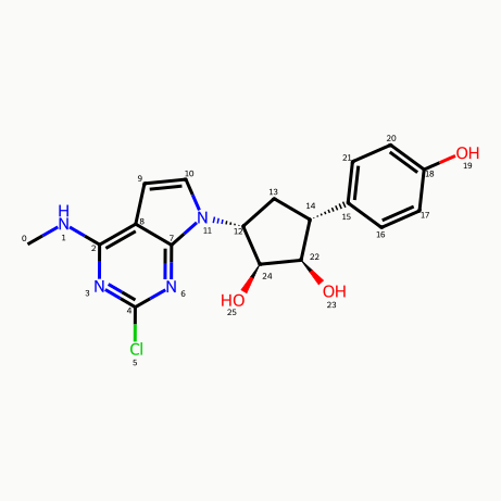 CNc1nc(Cl)nc2c1ccn2[C@@H]1C[C@H](c2ccc(O)cc2)[C@@H](O)[C@H]1O